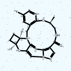 C[C@H]1CNC(=O)c2cnn3cc4c(nc23)N(Cc2cc(F)cnc2O1)[C@@H]1CC[C@@H]1O4